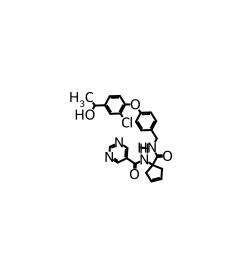 CC(O)c1ccc(Oc2ccc(CNC(=O)C3(NC(=O)c4cncnc4)CC=CC3)cc2)c(Cl)c1